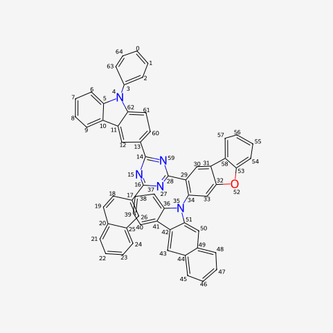 c1ccc(-n2c3ccccc3c3cc(-c4nc(-c5ccc6ccccc6c5)nc(-c5cc6c(cc5-n5c7ccccc7c7cc8ccccc8cc75)oc5ccccc56)n4)ccc32)cc1